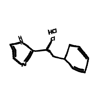 Cl.ClC(CC1C=CC=CC1)c1ncc[nH]1